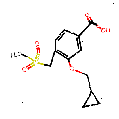 CS(=O)(=O)Cc1ccc(C(=O)O)cc1OCC1CC1